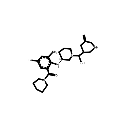 C=C1CNCC(C(O)N2CCC[C@@H](Nc3c(N)cc(Br)cc3C(=O)N3CCCCC3)C2)C1